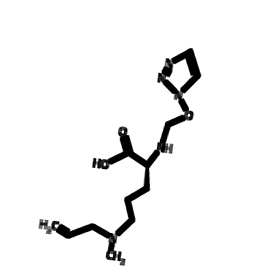 C=CCN(C)CCC[C@H](NCOn1ccnn1)C(=O)O